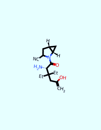 C=C(O)CC(CC)(CC)[C@H](N)C(=O)N1C(C#N)C[C@@H]2C[C@@H]21